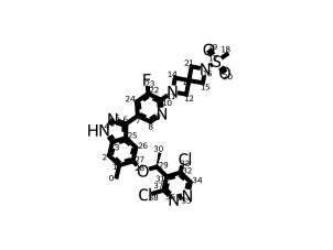 Cc1cc2[nH]nc(-c3cnc(N4CC5(C4)CN(S(C)(=O)=O)C5)c(F)c3)c2cc1O[C@@H](C)c1c(Cl)cnnc1Cl